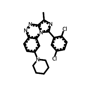 Cc1nc(-c2cc(Cl)ccc2Cl)n2c1nnc1ccc(N3CCCCC3)cc12